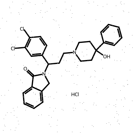 Cl.O=C1c2ccccc2CN1C(CCN1CCC(O)(c2ccccc2)CC1)c1ccc(Cl)c(Cl)c1